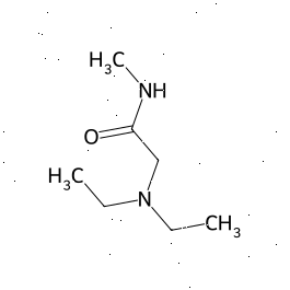 CCN(CC)CC(=O)NC